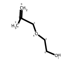 C=C(C)COCCO